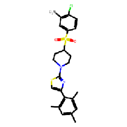 Cc1cc(C)c(-c2csc(N3CCC(S(=O)(=O)c4ccc(Cl)c([N+](=O)[O-])c4)CC3)n2)c(C)c1